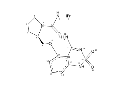 CC(C)NC(=O)N1CCC[C@@H]1COc1cccc2c1C(N)=NS(=O)(=O)N2